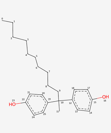 CCCCCCCCCCC(C)(c1ccc(O)cc1)c1ccc(O)cc1